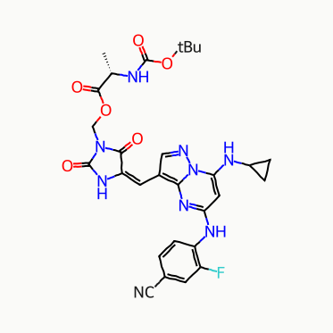 C[C@H](NC(=O)OC(C)(C)C)C(=O)OCN1C(=O)NC(=Cc2cnn3c(NC4CC4)cc(Nc4ccc(C#N)cc4F)nc23)C1=O